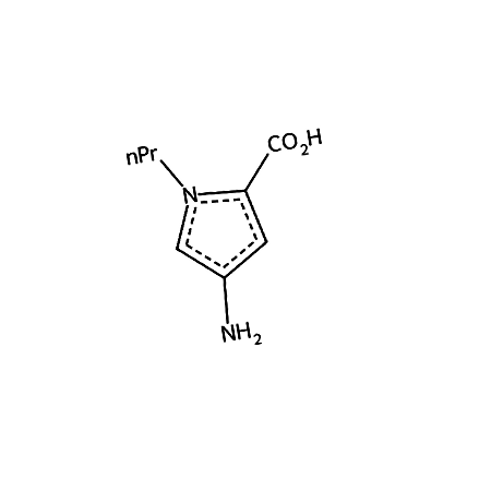 CCCn1cc(N)cc1C(=O)O